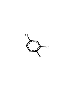 Cc1ccc([O])cc1[O]